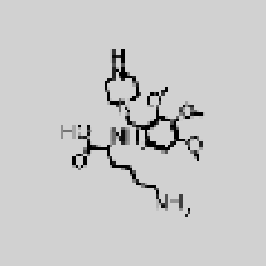 COc1ccc(CN2CCNCC2)c(OC)c1OC.NCCCCC(N)C(=O)O